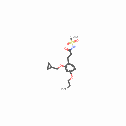 CCCCCS(=O)(=O)NC(=O)CCc1ccc(OCCOC)cc1OCC1CC1